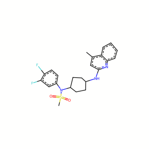 Cc1cc(NC2CCC(N(c3ccc(F)c(F)c3)S(C)(=O)=O)CC2)nc2ccccc12